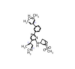 C=C/C(=C\N(C)C)c1cccc(-c2ncc(C(/C=N\C)=C/C)c(NC3CC4CC3N(S(C)(=O)=O)C4)n2)c1